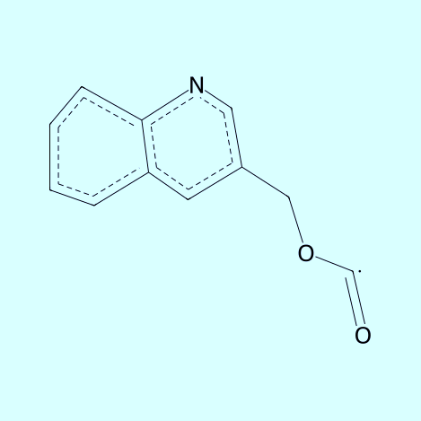 O=[C]OCc1cnc2ccccc2c1